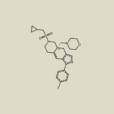 O=S(=O)(CC1CC1)N1CCC2=Cc3c(cnn3-c3ccc(F)cc3)C[C@]2(CN2CCOCC2)C1